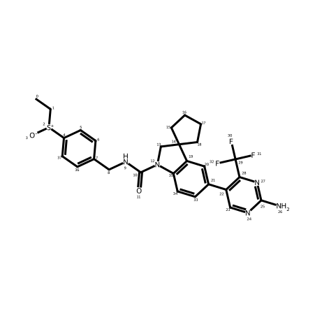 CC[S+]([O-])c1ccc(CNC(=O)N2CC3(CCCC3)c3cc(-c4cnc(N)nc4C(F)(F)F)ccc32)cc1